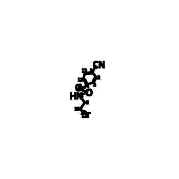 N#Cc1ccc(S(=O)(=O)NCCBr)cc1